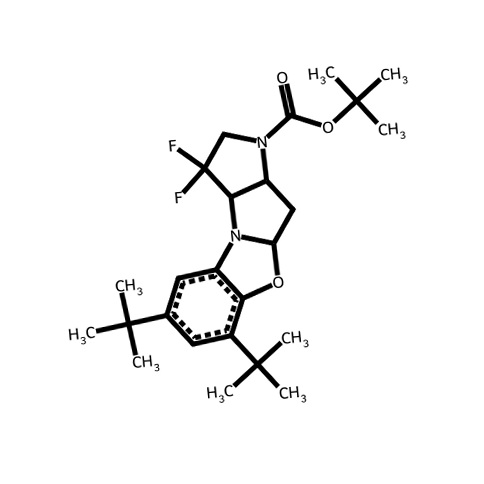 CC(C)(C)OC(=O)N1CC(F)(F)C2C1CC1Oc3c(cc(C(C)(C)C)cc3C(C)(C)C)N12